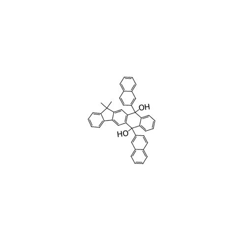 CC1(C)c2ccccc2-c2cc3c(cc21)C(O)(c1ccc2ccccc2c1)c1ccccc1C3(O)c1ccc2ccccc2c1